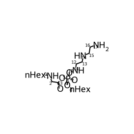 CCCCCCNCC(=O)OP(=O)(OCCCCCC)ONCCNCCN